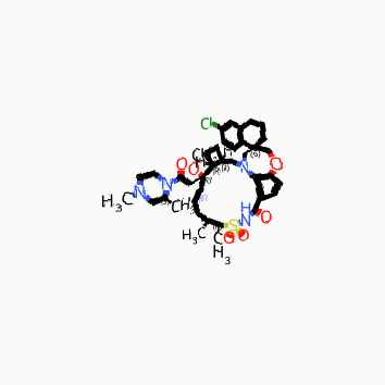 CO[C@@]1(CC(=O)N2CCN(C)C[C@@H]2C)/C=C/C[C@H](C)[C@@H](C)S(=O)(=O)NC(=O)c2ccc3c(c2)N(C[C@@H]2CC[C@H]21)C[C@@]1(CCCc2cc(Cl)ccc21)CO3